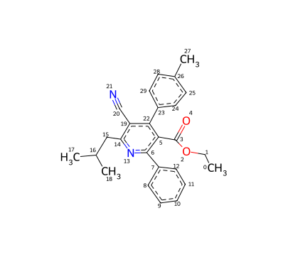 CCOC(=O)c1c(-c2ccccc2)nc(CC(C)C)c(C#N)c1-c1ccc(C)cc1